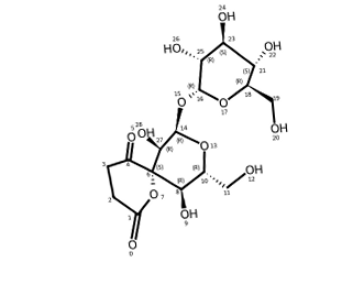 O=C1CCC(=O)[C@]2(O1)[C@H](O)[C@@H](CO)O[C@H](O[C@H]1O[C@H](CO)[C@@H](O)[C@H](O)[C@H]1O)[C@@H]2O